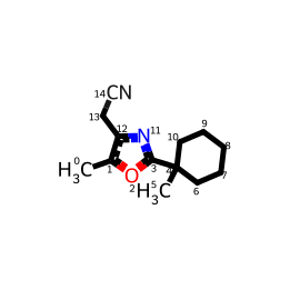 Cc1oc(C2(C)CCCCC2)nc1CC#N